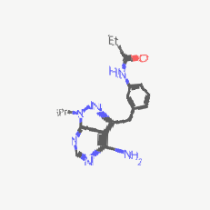 CCC(=O)Nc1cccc(Cc2nn(C(C)C)c3ncnc(N)c23)c1